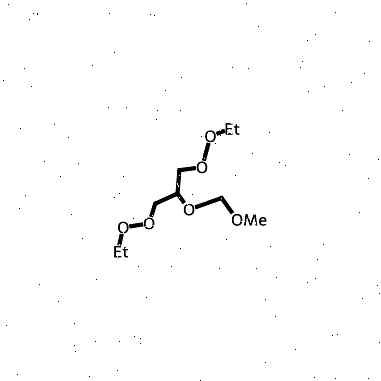 CCOOCC(COOCC)OCOC